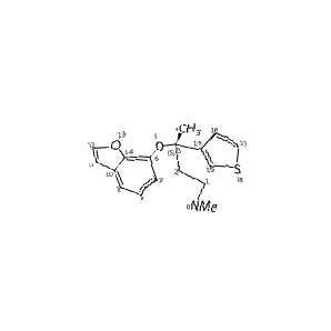 CNCC[C@](C)(Oc1cccc2ccoc12)c1ccsc1